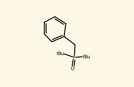 CC(C)(C)P(=O)(Cc1ccccc1)C(C)(C)C